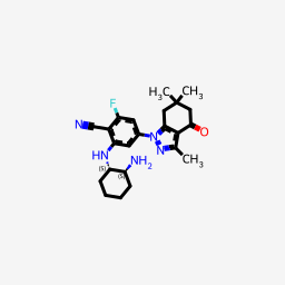 Cc1nn(-c2cc(F)c(C#N)c(N[C@H]3CCCC[C@@H]3N)c2)c2c1C(=O)CC(C)(C)C2